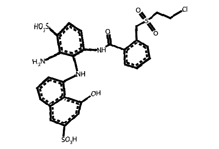 Nc1c(S(=O)(=O)O)ccc(NC(=O)c2ccccc2CS(=O)(=O)CCCl)c1Nc1cccc2cc(S(=O)(=O)O)cc(O)c12